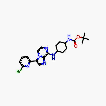 CC(C)(C)OC(=O)NC1CCC(Nc2nccn3c(-c4cccc(Br)n4)cnc23)CC1